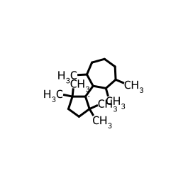 CC1CCCC(C)C([C]2C(C)(C)CCC2(C)C)C1C